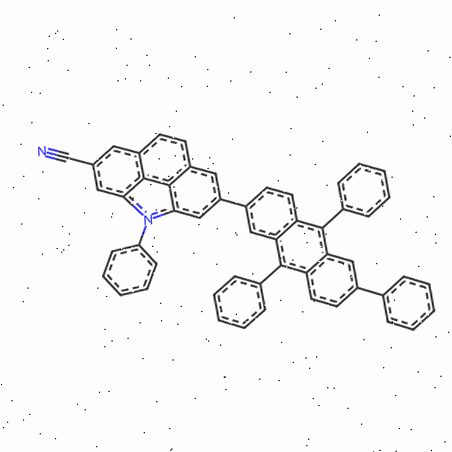 N#Cc1cc2ccc3cc(-c4ccc5c(-c6ccccc6)c6cc(-c7ccccc7)ccc6c(-c6ccccc6)c5c4)cc4c3c2c(c1)n4-c1ccccc1